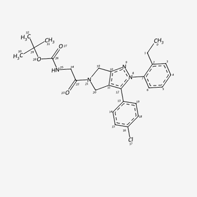 CCc1ccccc1-n1nc2c(c1-c1ccc(Cl)cc1)CN(C(=O)CNC(=O)OC(C)(C)C)C2